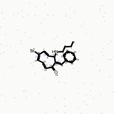 CCCCNC1/C=C/C(Br)=C\C=C\C(=O)/C1=C/c1ccccc1